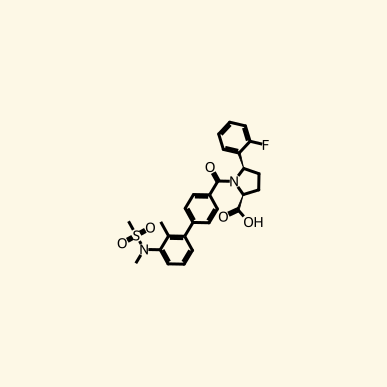 Cc1c(-c2ccc(C(=O)N3[C@@H](c4ccccc4F)CC[C@H]3C(=O)O)cc2)cccc1N(C)S(C)(=O)=O